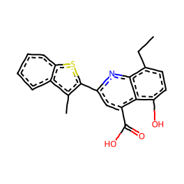 CCc1ccc(O)c2c(C(=O)O)cc(-c3sc4ccccc4c3C)nc12